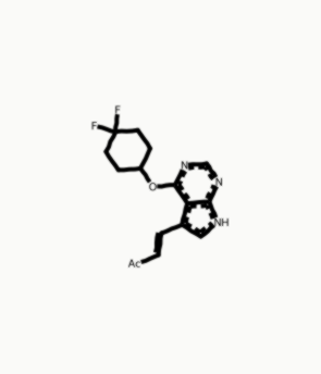 CC(=O)C=Cc1c[nH]c2ncnc(OC3CCC(F)(F)CC3)c12